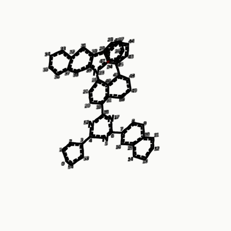 c1ccc(-c2nc(-c3ccc4ccccc4c3)nc(-c3ccc(-n4c5ccccc5c5cc6ccccc6cc54)c4c(-c5ccccc5)cccc34)n2)cc1